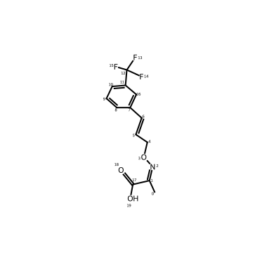 CC(=NOCC=Cc1cccc(C(F)(F)F)c1)C(=O)O